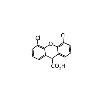 O=C(O)C1c2cccc(Cl)c2Oc2c(Cl)cccc21